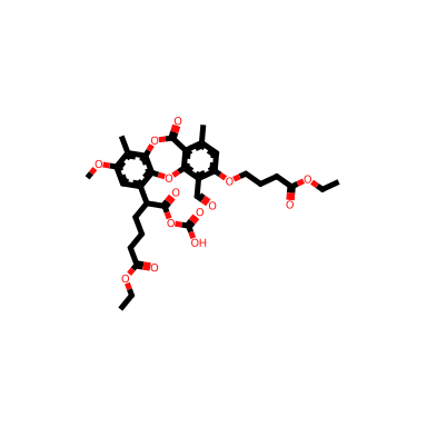 CCOC(=O)CCCOc1cc(C)c2c(c1C=O)Oc1c(C(CCCC(=O)OCC)C(=O)OC(=O)O)cc(OC)c(C)c1OC2=O